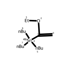 C=[C](OCC)[46Sn]([CH2]CCC)([CH2]CCC)[CH2]CCC